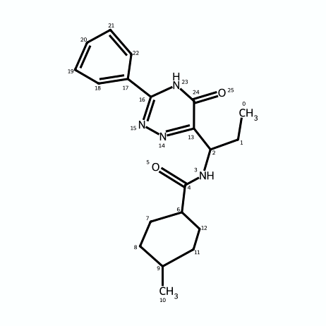 CCC(NC(=O)C1CCC(C)CC1)c1nnc(-c2ccccc2)[nH]c1=O